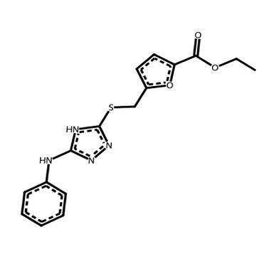 CCOC(=O)c1ccc(CSc2nnc(Nc3ccccc3)[nH]2)o1